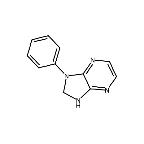 c1ccc(N2CNc3nccnc32)cc1